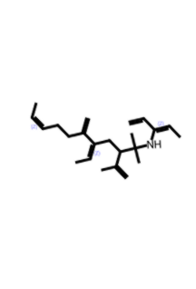 C=C/C(=C/C)NC(C)(C)C(C/C(=C/C)C(=C)CC/C=C\C)C(=C)C